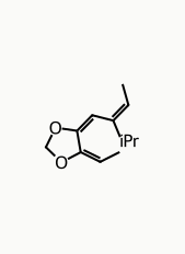 C\C=C(/C=C1/OCO/C1=C/C)C(C)C